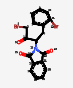 O=C(CBr)C(Cc1ccccc1Br)N1C(=O)c2ccccc2C1=O